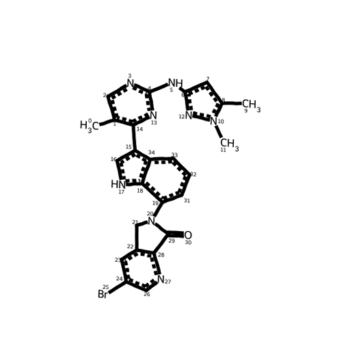 Cc1cnc(Nc2cc(C)n(C)n2)nc1-c1c[nH]c2c(N3Cc4cc(Br)cnc4C3=O)cccc12